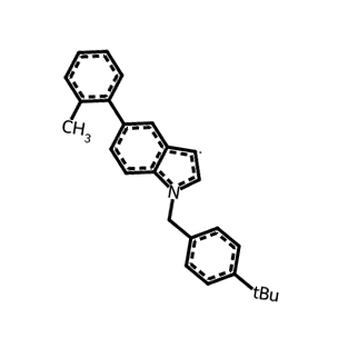 Cc1ccccc1-c1ccc2c([c]cn2Cc2ccc(C(C)(C)C)cc2)c1